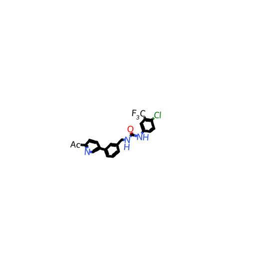 CC(=O)c1ccc(-c2cccc(CNC(=O)Nc3ccc(Cl)c(C(F)(F)F)c3)c2)cn1